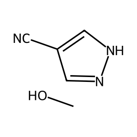 CO.N#Cc1cn[nH]c1